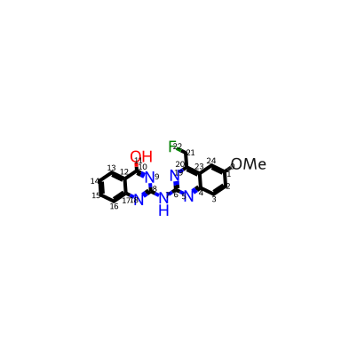 COc1ccc2nc(Nc3nc(O)c4ccccc4n3)nc(CF)c2c1